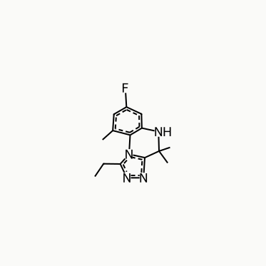 CCc1nnc2n1-c1c(C)cc(F)cc1NC2(C)C